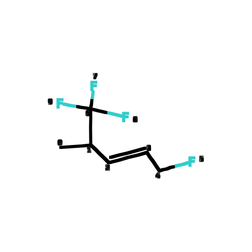 CC(C=CCF)C(F)(F)F